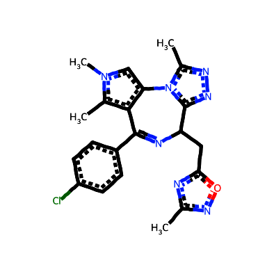 Cc1noc(CC2N=C(c3ccc(Cl)cc3)c3c(cn(C)c3C)-n3c(C)nnc32)n1